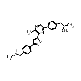 CNCc1ccc(-c2cc(-c3nc(-c4ccc(SC(C)C)cc4)cnc3N)on2)cc1